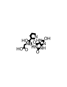 NCC(=O)O.O=C(O)c1cccnc1.O=c1[nH]c(=O)c2[nH]c(O)nc2[nH]1